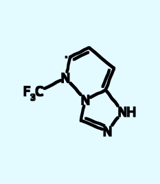 FC(F)(F)N1[C]=CC=C2NN=CN21